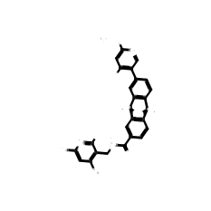 CCCc1cc(N)nc(C)c1CNC(=O)c1ccc2c(c1)[C@@H]1O[C@H]2c2ccc(-c3cnc(OC)cc3F)cc21